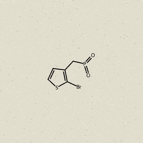 O=P(=O)Cc1ccsc1Br